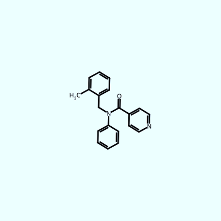 Cc1ccccc1CN(C(=O)c1ccncc1)c1ccccc1